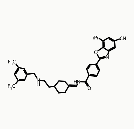 CC(C)c1cc(C#N)cc2nc(-c3ccc(C(=O)NC=C4CCC(CCNCc5cc(C(F)(F)F)cc(C(F)(F)F)c5)CC4)cc3)oc12